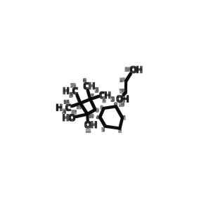 C1CCCCC1.CC1(C)CC(O)(O)C1(C)C.OCCO